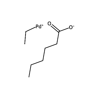 CCCCCC(=O)[O-].C[CH2][Pd+]